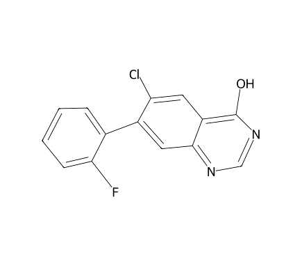 Oc1ncnc2cc(-c3ccccc3F)c(Cl)cc12